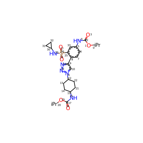 CC(C)OC(=O)Nc1ccc(-c2cn(C3CCC(NC(=O)OC(C)C)CC3)nn2)c(S(=O)(=O)NC2CC2)c1